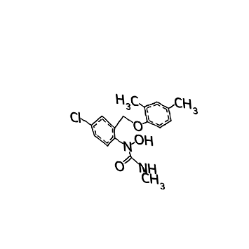 CNC(=O)N(O)c1ccc(Cl)cc1COc1ccc(C)cc1C